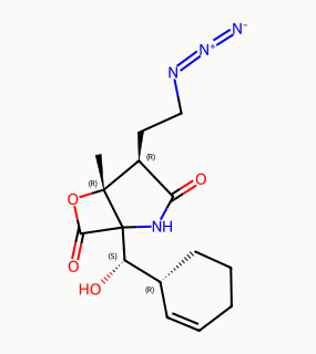 C[C@]12OC(=O)C1([C@@H](O)[C@H]1C=CCCC1)NC(=O)[C@@H]2CCN=[N+]=[N-]